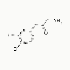 NCC(=O)Cc1ccc(Cl)c(Cl)c1